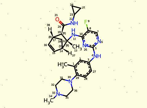 Cc1cc(Nc2ncc(F)c(N[C@]3(C)[C@@H]4C=C[C@@H](C4)[C@H]3C(=O)NC3CC3)n2)ccc1N1CCN(C)CC1